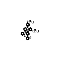 Cc1ccccc1N1c2cc(-c3ccccc3)ccc2B2c3cc(C(C)(C)C)ccc3N(c3ccc(C(C)(C)C)cc3)c3cccc1c32